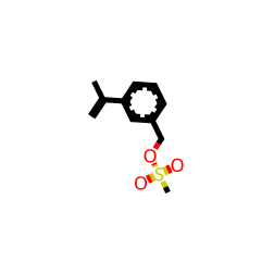 C=C(C)c1cccc(COS(C)(=O)=O)c1